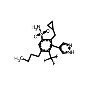 CCCCc1cc(S(N)(=O)=O)c(CC2CC2)c(-c2cn[nH]c2)c1C(F)(F)F